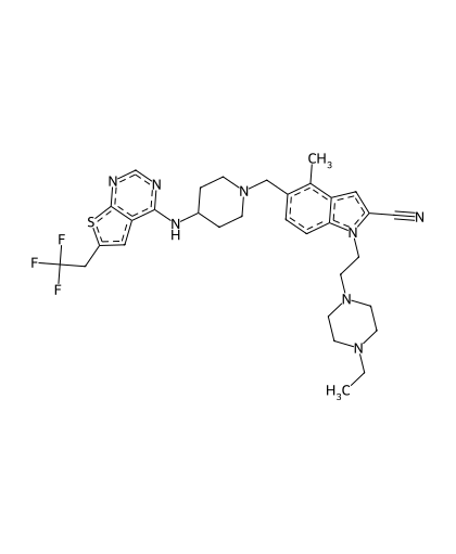 CCN1CCN(CCn2c(C#N)cc3c(C)c(CN4CCC(Nc5ncnc6sc(CC(F)(F)F)cc56)CC4)ccc32)CC1